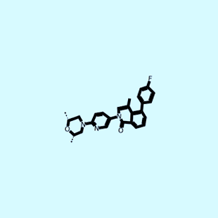 Cc1cn(-c2ccc(N3C[C@@H](C)O[C@@H](C)C3)nc2)c(=O)c2cccc(-c3ccc(F)cc3)c12